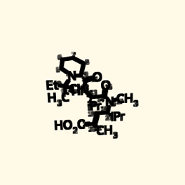 CCC(C)(C)N1CCCC[C@@H]1C(=O)N[C@H](C(=O)N(C)[C@H](/C=C(\C)C(=O)O)C(C)C)C(C)C